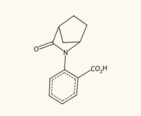 O=C(O)c1ccccc1N1C(=O)C2CCC1C2